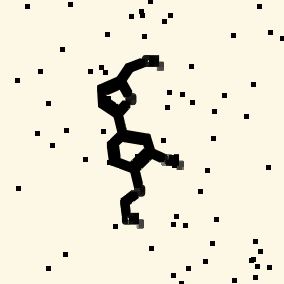 CCOc1ccc(-c2ccc(CC)o2)cc1N